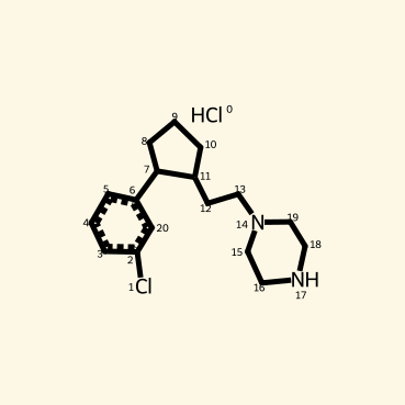 Cl.Clc1cccc(C2CCCC2CCN2CCNCC2)c1